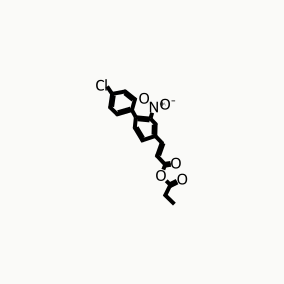 CCC(=O)OC(=O)C=Cc1ccc(-c2ccc(Cl)cc2)c([N+](=O)[O-])c1